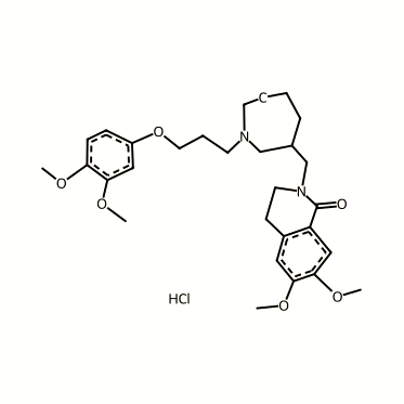 COc1ccc(OCCCN2CCCCC(CN3CCc4cc(OC)c(OC)cc4C3=O)C2)cc1OC.Cl